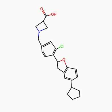 O=C(O)C1CN(Cc2ccc(C3Cc4cc(C5CCCC5)ccc4O3)c(Cl)c2)C1